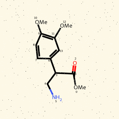 COC(=O)C(CN)c1ccc(OC)c(OC)c1